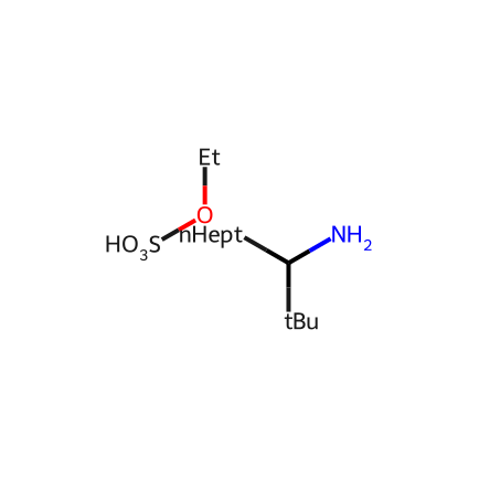 CCCCCCCC(N)C(C)(C)C.CCOS(=O)(=O)O